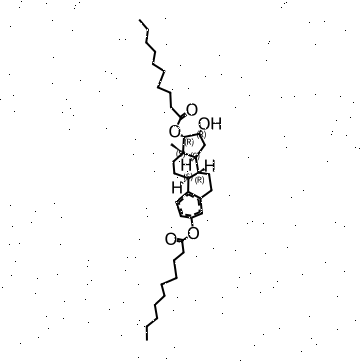 CCCCCCCCCC(=O)Oc1ccc2c(c1)CC[C@@H]1[C@@H]2CC[C@@]2(C)[C@H]1C[C@@H](O)[C@@H]2OC(=O)CCCCCCCCC